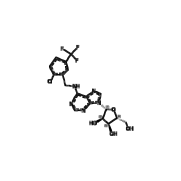 OC[C@H]1O[C@@H](n2cnc3c(NCc4cc(C(F)(F)F)ccc4Cl)ncnc32)[C@H](O)[C@@H]1O